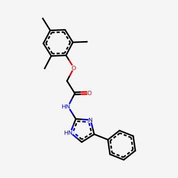 Cc1cc(C)c(OCC(=O)Nc2nc(-c3ccccc3)c[nH]2)c(C)c1